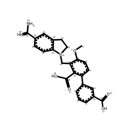 COc1ccc(-c2cccc(C(=O)O)c2)c(C(=O)O)c1CN1CCc2cc(C(=N)N)ccc21